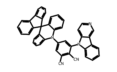 N#Cc1cc(N2c3ccccc3C3(c4ccccc4-c4ccccc43)c3ccccc32)cc(-n2c3ccccc3c3cnccc32)c1C#N